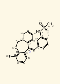 CS(=O)(=O)Nc1cccc(/C=C2\c3ccccc3COc3c(F)cccc32)c1